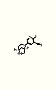 N#Cc1cc(N2CC[C@H]3C[C@@H]2CN3)cnc1F